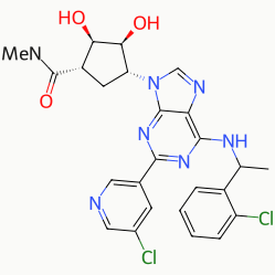 CNC(=O)[C@H]1C[C@@H](n2cnc3c(NC(C)c4ccccc4Cl)nc(-c4cncc(Cl)c4)nc32)[C@H](O)[C@@H]1O